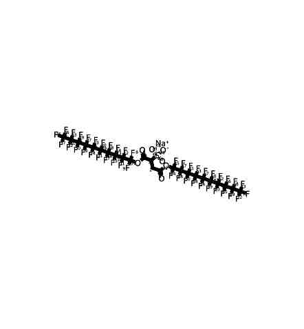 O=C(CC(C(=O)OC(F)(F)C(F)(F)C(F)(F)C(F)(F)C(F)(F)C(F)(F)C(F)(F)C(F)(F)C(F)(F)C(F)(F)F)S(=O)(=O)[O-])OC(F)(F)C(F)(F)C(F)(F)C(F)(F)C(F)(F)C(F)(F)C(F)(F)C(F)(F)C(F)(F)C(F)(F)F.[Na+]